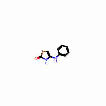 O=c1[nH]c(Nc2ccccc2)cs1